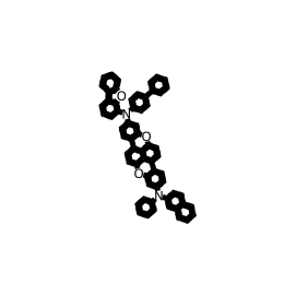 c1ccc(-c2ccc(N(c3ccc4c(c3)Oc3ccc5c6c(ccc-4c36)Oc3cc(N(c4ccccc4)c4ccc6ccccc6c4)ccc3-5)c3cccc4c3oc3ccccc34)cc2)cc1